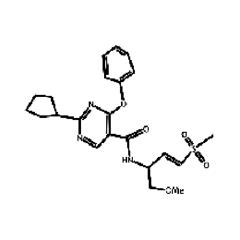 COCC(C=CS(C)(=O)=O)NC(=O)c1cnc(C2CCCC2)nc1Oc1ccccc1